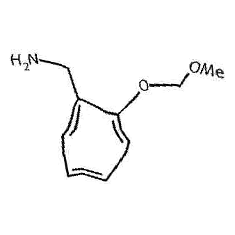 COCOc1ccccc1CN